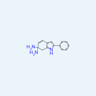 NC1(N)C=Cc2cc(-c3ccccc3)[nH]c2C1